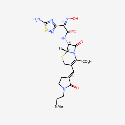 CNCCN1CC/C(=C\C2=C(C(=O)O)N3C(=O)[C@@H](NC(=O)/C(=N\O)c4nsc(N)n4)[C@H]3SC2)C1=O